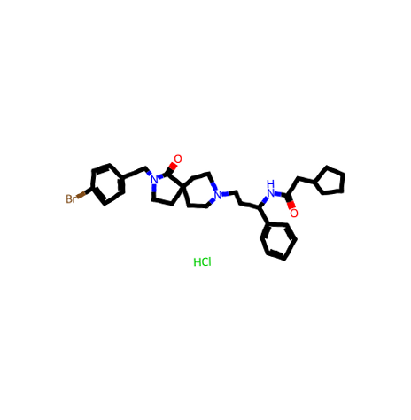 Cl.O=C(CC1CCCC1)NC(CCN1CCC2(CC1)CCN(Cc1ccc(Br)cc1)C2=O)c1ccccc1